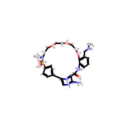 CNCc1cccc2c1OCCOCCOCCN(C)S(=O)(=O)c1ccc(cc1)-c1cnc(N)c(n1)C(=O)N2